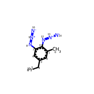 Cc1cc(CC(C)C)cc(N=[N+]=[N-])c1N=[N+]=[N-]